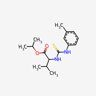 Cc1cccc(NC(=S)NC(C(=O)OC(C)C)C(C)C)c1